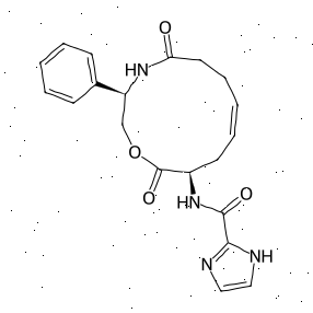 O=C1CCC=CC[C@@H](NC(=O)c2ncc[nH]2)C(=O)OC[C@@H](c2ccccc2)N1